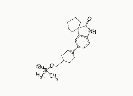 CC(C)(C)[Si](C)(C)OCC1CCN(c2ccc3c(c2)C2(CCCCC2)C(=O)N3)CC1